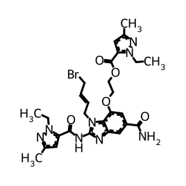 CCn1nc(C)cc1C(=O)Nc1nc2cc(C(N)=O)cc(OCCOC(=O)c3cc(C)nn3CC)c2n1C/C=C/CBr